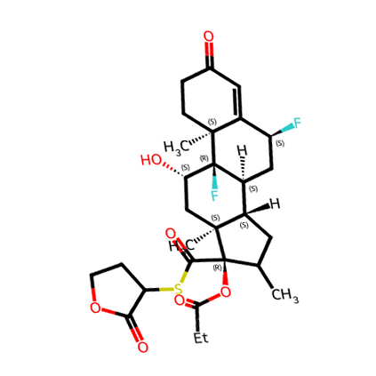 CCC(=O)O[C@]1(C(=O)SC2CCOC2=O)C(C)C[C@H]2[C@@H]3C[C@H](F)C4=CC(=O)CC[C@]4(C)[C@@]3(F)[C@@H](O)C[C@@]21C